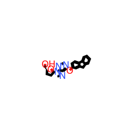 OC[C@@H]1CC[C@H](n2cnc3c(Oc4ccc5c(c4)Cc4ccccc4-5)ncnc32)O1